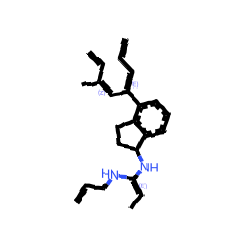 C=C/C=C(\C=C(\C)C=C)c1cccc2c1CCC2N/C(=C/C)NCC=C